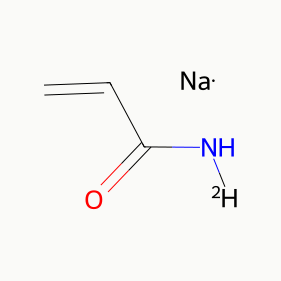 [2H]NC(=O)C=C.[Na]